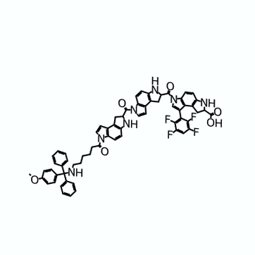 COc1ccc(C(NCCCCCC(=O)n2ccc3c4c(ccc32)NC(C(=O)n2ccc3c5c(ccc32)NC(C(=O)n2cc(-c3c(F)c(F)cc(F)c3F)c3c6c(ccc32)NC(C(=O)O)C6)C5)C4)(c2ccccc2)c2ccccc2)cc1